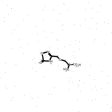 N[C@@H](COCc1noc(=O)[nH]1)C(=O)O